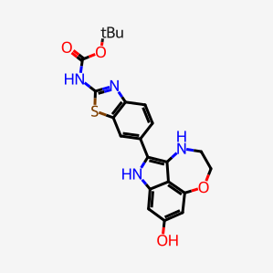 CC(C)(C)OC(=O)Nc1nc2ccc(-c3[nH]c4cc(O)cc5c4c3NCCO5)cc2s1